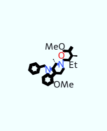 C=C(C(=O)OC)[C@@H](C)[C@H](CC)CN1CCc2c(n(Cc3ccccc3)c3cccc(OC)c23)[C@@H]1C